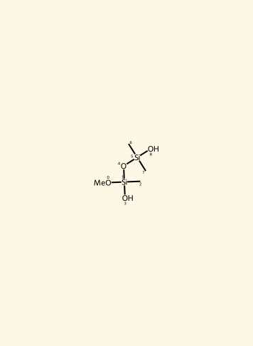 CO[Si](C)(O)O[Si](C)(C)O